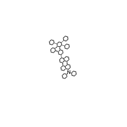 c1ccc(-c2cc(-c3ccccc3)c3c4ccccc4c4cc(-c5ccc6c7cccc8c(N(c9ccccc9)c9ccccc9)ccc(c9cccc5c69)c87)ccc4c3c2-c2ccccc2)cc1